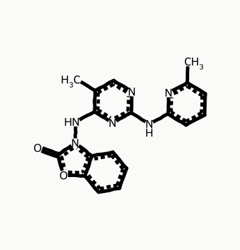 Cc1cccc(Nc2ncc(C)c(Nn3c(=O)oc4ccccc43)n2)n1